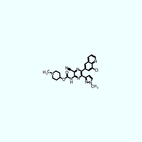 CN1CCC(OC(=O)Nc2nc(-c3ccn(C)n3)c(-c3cc(Cl)c4ncccc4c3)nc2C#N)CC1